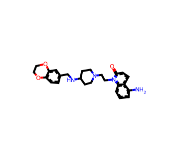 Nc1cccc2c1ccc(=O)n2CCN1CCC(NCc2ccc3c(c2)OCCO3)CC1